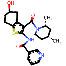 C[C@@H]1CCN(C(=O)c2c(NC(=O)c3cccnc3)sc3c2CC(O)CC3)[C@H](C)C1